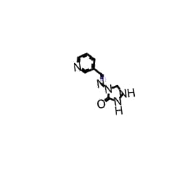 O=C1NNCN1/N=C/c1cccnc1